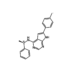 [CH2]c1ccc(-c2cc3c(N[C@H](C)c4ccccc4)ncnc3[nH]2)cc1